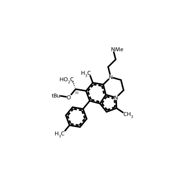 CNCCN1CCn2c(C)cc3c(-c4ccc(C)cc4)c([C@H](OC(C)(C)C)C(=O)O)c(C)c1c32